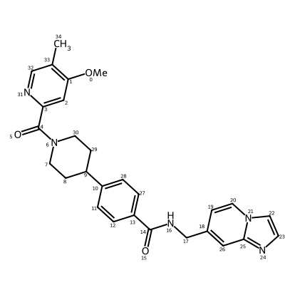 COc1cc(C(=O)N2CCC(c3ccc(C(=O)NCc4ccn5ccnc5c4)cc3)CC2)ncc1C